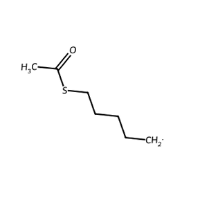 [CH2]CCCCSC(C)=O